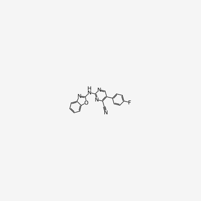 N#Cc1nc(Nc2nc3ccccc3o2)ncc1-c1ccc(F)cc1